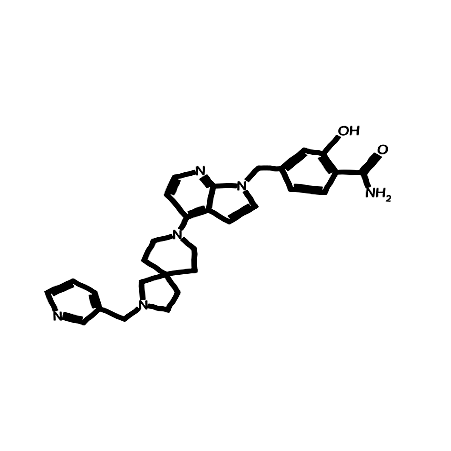 NC(=O)c1ccc(Cn2ccc3c(N4CCC5(CCN(Cc6cccnc6)C5)CC4)ccnc32)cc1O